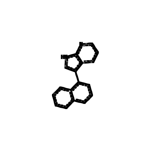 c1ccc2c(-c3c[nH]c4ncccc34)cccc2c1